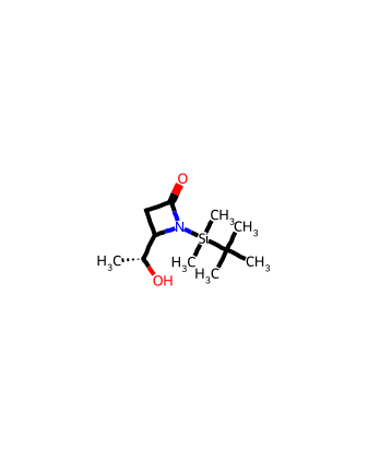 C[C@@H](O)C1CC(=O)N1[Si](C)(C)C(C)(C)C